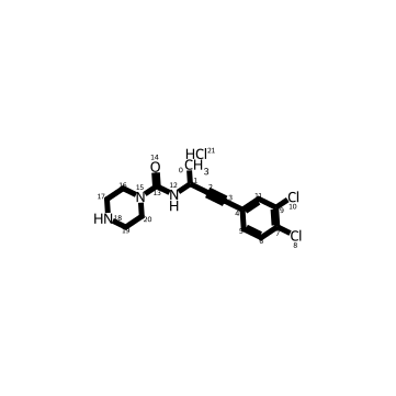 CC(C#Cc1ccc(Cl)c(Cl)c1)NC(=O)N1CCNCC1.Cl